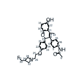 CC(=O)Nc1ccc(C2=C(C)c3cc(O)ccc3O[C@@H]2c2ccc(OCCN3CC(CF)C3)cc2)cc1